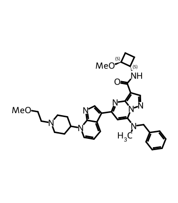 COCCN1CCC(n2cccc3c(-c4cc(N(C)Cc5ccccc5)n5ncc(C(=O)N[C@H]6CC[C@@H]6OC)c5n4)cnc2-3)CC1